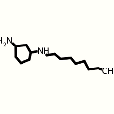 CCCCCCCCCNC1CCCC(N)C1